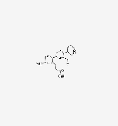 O=C(O)CCC1CC(O)C=CC1C1C=C(CF)C(C2C=NCCC2)CC1